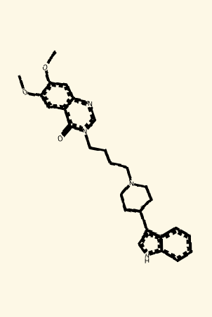 COc1cc2ncn(CCCCN3CCC(c4c[nH]c5ccccc45)CC3)c(=O)c2cc1OC